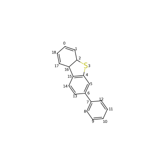 C1=CC2Sc3cc(-c4ccccc4)ccc3C2C=C1